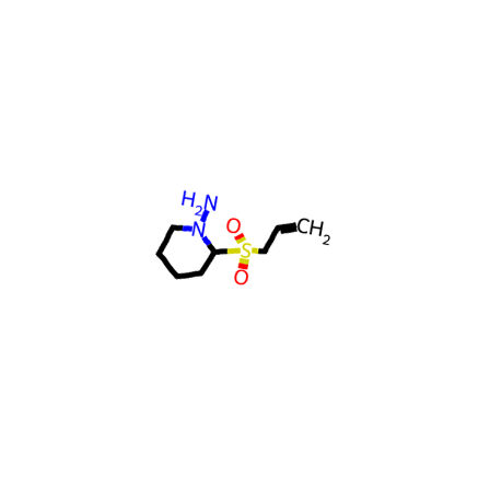 C=CCS(=O)(=O)C1CCCCN1N